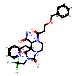 NC(=O)C1N(C(=O)[CH]COCc2ccccc2)CCN2C(=O)N(CC(F)(F)F)C(=O)C12Cc1ccccn1